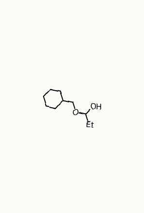 CCC(O)OCC1CCCCC1